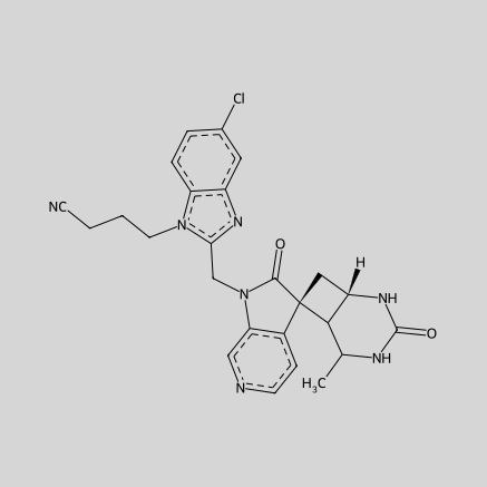 CC1NC(=O)N[C@H]2C[C@@]3(C(=O)N(Cc4nc5cc(Cl)ccc5n4CCCC#N)c4cnccc43)C12